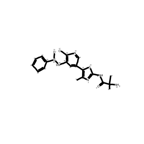 Cc1nc(NC(=O)C(C)(C)N)sc1-c1cnc(Cl)c(N[S+]([O-])c2ccccc2)c1